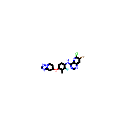 Cc1c(Oc2ccn3ncnc3c2)ccc(Nc2ncnc3cc(Br)c(Cl)nc23)c1F